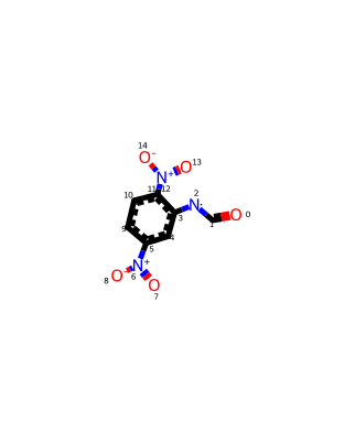 O=C[N]c1cc([N+](=O)[O-])ccc1[N+](=O)[O-]